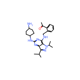 CC(=O)c1ccccc1CNc1nc(NC2CCC(N)CC2)nc2c(C(C)C)nn(C(C)C)c12